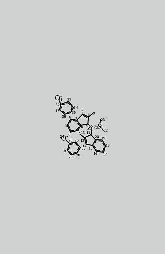 CC1=Cc2ccccc2[CH]1[Zr+2]([CH]1C(C)=Cc2ccccc21)=[Si](C)C.[O-]c1ccccc1.[O-]c1ccccc1